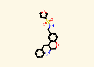 NC1COc2ccc(CNS(=O)(=O)c3ccoc3)cc2C1Cc1ccccc1